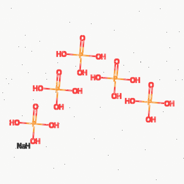 O=P(O)(O)O.O=P(O)(O)O.O=P(O)(O)O.O=P(O)(O)O.O=P(O)(O)O.[NaH]